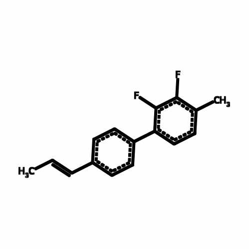 CC=Cc1ccc(-c2ccc(C)c(F)c2F)cc1